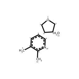 C1CCOC1.Cc1cccnc1C.O